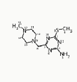 CSc1nc(N)nc(CN2CCN(C)CC2)n1